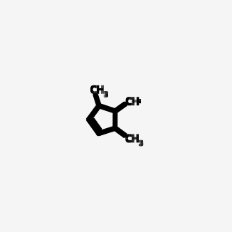 [CH]C1C(C)C=CC1C